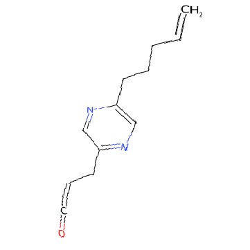 C=CCCCc1cnc(CC=C=O)cn1